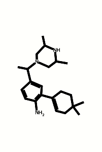 CC1CN(C(C)c2ccc(N)c(C3=CCC(C)(C)CC3)c2)CC(C)N1